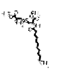 CCCCCCCCCCCC(=O)N[C@@H](CSSCC(N)C(=O)OC)C(=O)OC